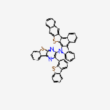 c1ccc2cc3c(cc2c1)sc1c3c2ccccc2c2c3ccccc3n(-c3nc4sc5ccccc5c4nc3-c3cccc4c3sc3ccccc34)c12